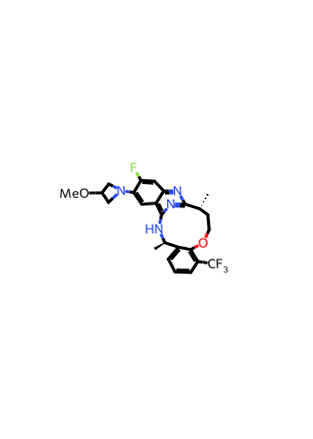 COC1CN(c2cc3c4nc(nc3cc2F)[C@H](C)CCOc2c(cccc2C(F)(F)F)[C@@H](C)N4)C1